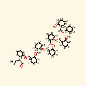 CC(C=O)c1ccccc1OCc1ccccc1OCc1ccccc1OCc1ccccc1OCc1ccccc1OCc1ccccc1OCc1ccccc1OCc1ccccc1O